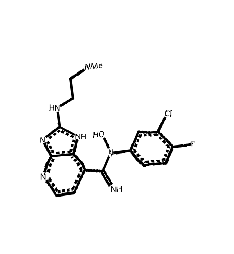 CNCCNc1nc2nccc(C(=N)N(O)c3ccc(F)c(Cl)c3)c2[nH]1